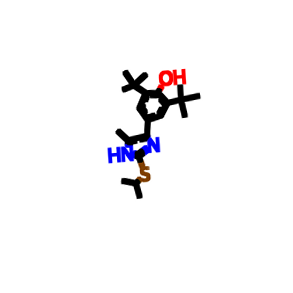 Cc1[nH]c(SC(C)C)nc1-c1cc(C(C)(C)C)c(O)c(C(C)(C)C)c1